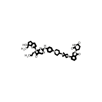 C=CCn1c(=O)c2cnc(Nc3ccc(N4CCC(N5CC6(CN(c7cccc8c7CN(C7CCC(=O)NC7=O)C8=O)C6)C5)CC4)cc3)nc2n1-c1ccc2c(n1)[C@@](O)(CC)CC2